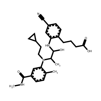 CNC(=O)c1ccc(C)c(N(CCC2CC2)C(C)C(O)Nc2cc(C#N)ccc2CCCC(=O)O)c1